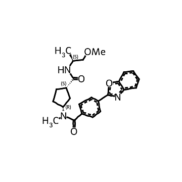 COC[C@H](C)NC(=O)[C@H]1CC[C@@H](N(C)C(=O)c2ccc(-c3nc4ccccc4o3)cc2)C1